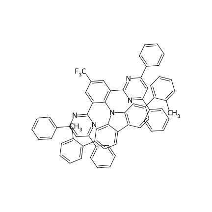 Cc1ccccc1-c1ccc2c3ccc(-c4ccccc4C)cc3n(-c3c(-c4nc(-c5ccccc5)cc(-c5ccccc5)n4)cc(C(F)(F)F)cc3-c3nc(-c4ccccc4)cc(-c4ccccc4)n3)c2c1